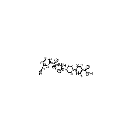 Cc1nc(N2CCC(C(=O)NS(=O)(=O)c3cccc(C#N)c3)CC2)ccc1C(=O)O